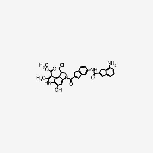 COC(=O)c1c(C)[nH]c2c(O)cc3c(c12)C(CCl)CN3C(=O)C1=Cc2cc(NC(=O)C3=Cc4cccc(N)c4C3)ccc2C1